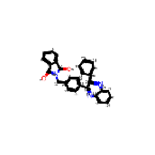 O=C1c2ccccc2C(=O)N1Cc1ccc(-c2nc3ccccc3nc2-c2ccccc2)cc1